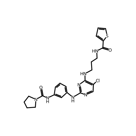 O=C(NCCCNc1nc(Nc2cccc(NC(=O)N3CCCC3)c2)ncc1Cl)c1cccs1